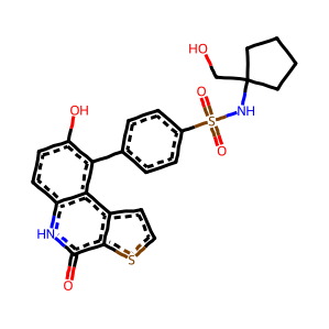 O=c1[nH]c2ccc(O)c(-c3ccc(S(=O)(=O)NC4(CO)CCCC4)cc3)c2c2ccsc12